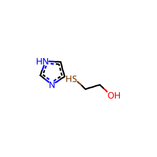 OCCS.c1c[nH]cn1